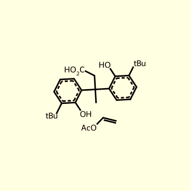 C=COC(C)=O.CC(C)(C)c1cccc(C(C)(CC(=O)O)c2cccc(C(C)(C)C)c2O)c1O